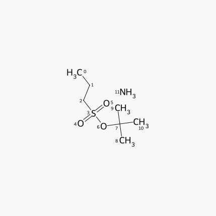 CCCS(=O)(=O)OC(C)(C)C.N